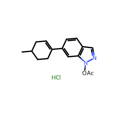 CC(=O)On1ncc2ccc(C3=CCC(C)CC3)cc21.Cl